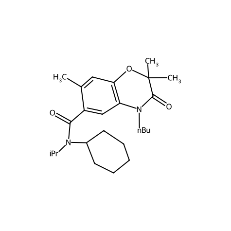 CCCCN1C(=O)C(C)(C)Oc2cc(C)c(C(=O)N(C(C)C)C3CCCCC3)cc21